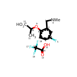 CNCc1cc(F)ccc1OC(C)C(=O)O.O=C(O)C(F)(F)F